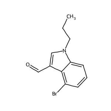 CCCn1cc(C=O)c2c(Br)cccc21